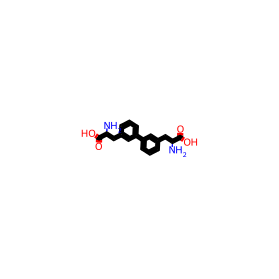 N[C@H](Cc1cccc(-c2cccc(C[C@@H](N)C(=O)O)c2)c1)C(=O)O